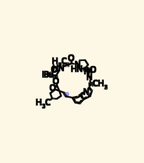 CC[C@H](C)[C@@H]1OC(=O)C2(/C=C/c3ccc4ccc(nc4c3)[C@@H](C)NC(=O)[C@@H]3CCCN(N3)C(=O)[C@H](C)NC1=O)CCC(C)CC2